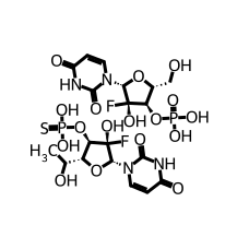 CC(O)[C@H]1O[C@@H](n2ccc(=O)[nH]c2=O)[C@@](O)(F)[C@@H]1OP(O)(O)=S.O=c1ccn([C@@H]2O[C@H](CO)[C@@H](OP(=O)(O)O)[C@]2(O)F)c(=O)[nH]1